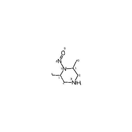 CC1CNCC(C)N1N=O